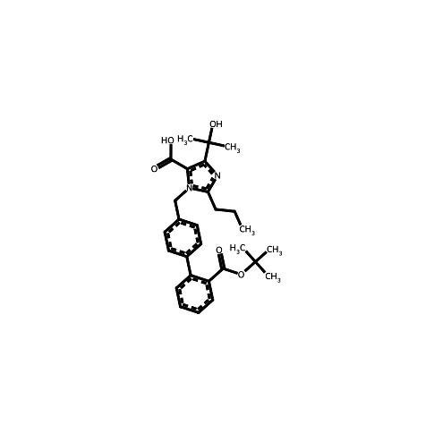 CCCc1nc(C(C)(C)O)c(C(=O)O)n1Cc1ccc(-c2ccccc2C(=O)OC(C)(C)C)cc1